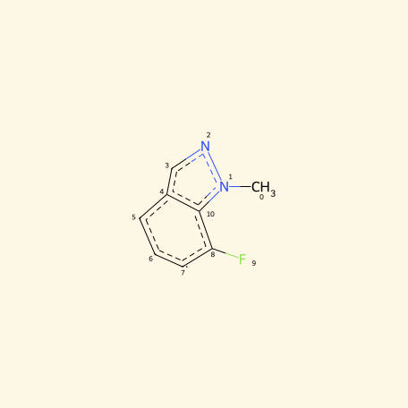 Cn1ncc2cc[c]c(F)c21